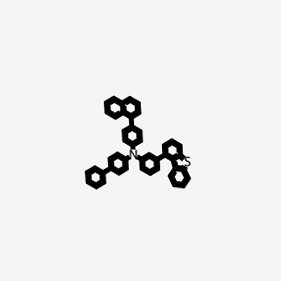 c1ccc(-c2ccc(N(c3ccc(-c4cccc5ccccc45)cc3)c3cccc(-c4cccc5sc6ccccc6c45)c3)cc2)cc1